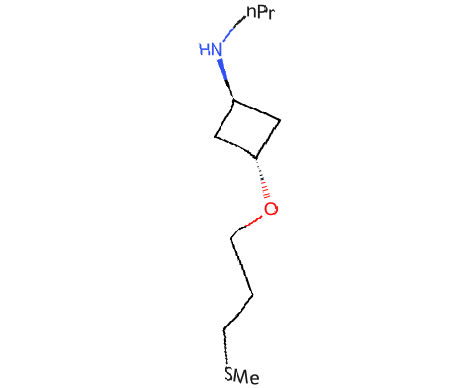 CCCN[C@H]1C[C@H](OCCCSC)C1